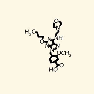 CCCCOc1nc(NCCN2CCOCC2)c2ncn(Cc3ccc(C(=O)O)cc3OC)c2n1